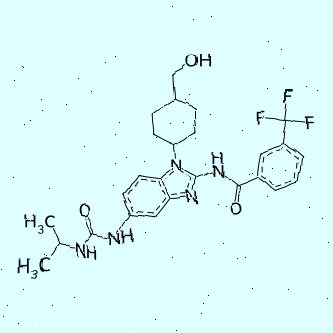 CC(C)NC(=O)Nc1ccc2c(c1)nc(NC(=O)c1cccc(C(F)(F)F)c1)n2C1CCC(CO)CC1